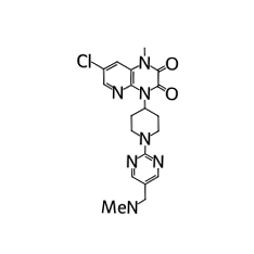 CNCc1cnc(N2CCC(n3c(=O)c(=O)n(C)c4cc(Cl)cnc43)CC2)nc1